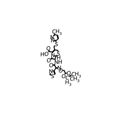 Cc1ccc(SCC2=C(C(=O)O)N3C(=O)C(NC(=O)C(=NOCC(=O)OC(C)(C)C)c4cscn4)[C@@H]3SC2)nn1